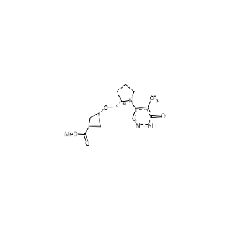 COC(=O)C1CC(OC[C@@H]2CCCN2c2cn[nH]c(=O)c2C(F)(F)F)C1